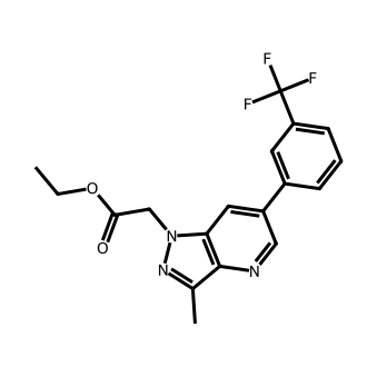 CCOC(=O)Cn1nc(C)c2ncc(-c3cccc(C(F)(F)F)c3)cc21